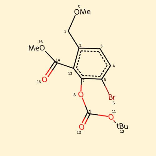 COCc1ccc(Br)c(OC(=O)OC(C)(C)C)c1C(=O)OC